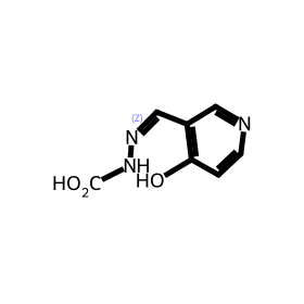 O=C(O)N/N=C\c1cnccc1O